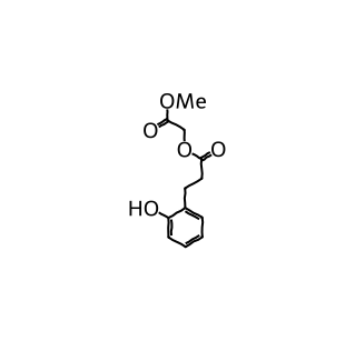 COC(=O)COC(=O)CCc1ccccc1O